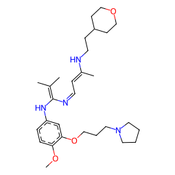 COc1ccc(NC(/N=C\C=C(/C)NCCC2CCOCC2)=C(C)C)cc1OCCCN1CCCC1